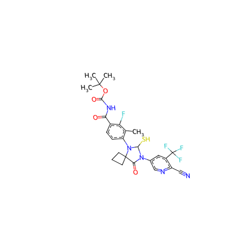 Cc1c(N2C(S)N(c3cnc(C#N)c(C(F)(F)F)c3)C(=O)C23CCC3)ccc(C(=O)NC(=O)OC(C)(C)C)c1F